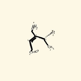 CC[C@H](C)/C(N)=C\C=O